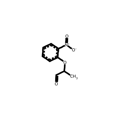 CC([C]=O)Oc1ccccc1[N+](=O)[O-]